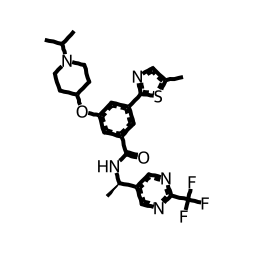 Cc1cnc(-c2cc(OC3CCN(C(C)C)CC3)cc(C(=O)N[C@H](C)c3cnc(C(F)(F)F)nc3)c2)s1